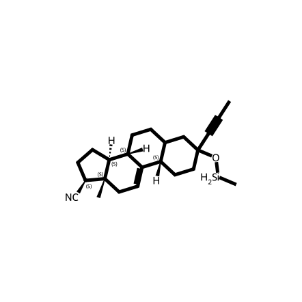 CC#CC1(O[SiH2]C)CC[C@@H]2C3=CC[C@]4(C)[C@@H](C#N)CC[C@H]4[C@@H]3CCC2C1